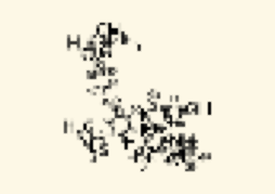 Cc1ncsc1-c1ccc(CNC(=O)[C@@H]2C[C@@H](O)CN2C(=O)[C@@H](NC(=O)C2(F)CC2)C(C)(C)C)c(OCC2CCN(C(=O)OC(C)(C)C)CC2)c1